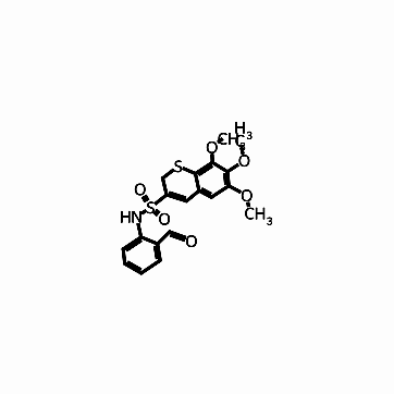 COc1cc2c(c(OC)c1OC)SCC(S(=O)(=O)Nc1ccccc1C=O)=C2